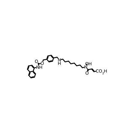 O=C(O)/C=C/C(=O)N(O)CCCCCCCCNCc1ccc(COC(=O)Nc2cccc3ccccc23)cc1